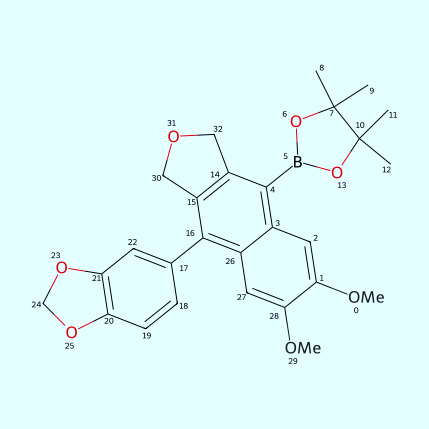 COc1cc2c(B3OC(C)(C)C(C)(C)O3)c3c(c(-c4ccc5c(c4)OCO5)c2cc1OC)COC3